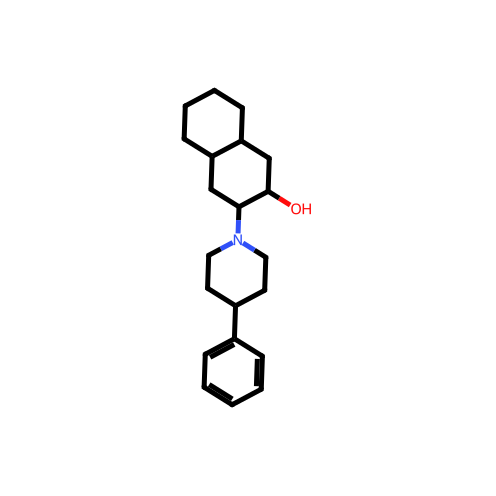 OC1CC2CCCCC2CC1N1CCC(c2ccccc2)CC1